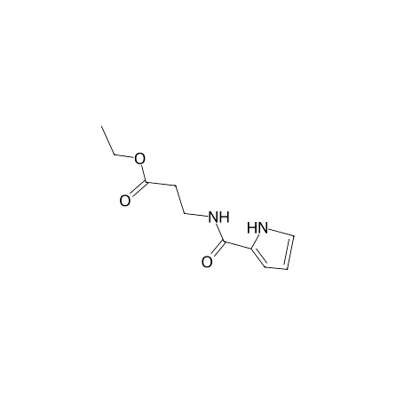 CCOC(=O)CCNC(=O)c1ccc[nH]1